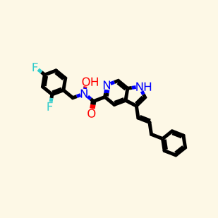 O=C(c1cc2c(C=CCc3ccccc3)c[nH]c2cn1)N(O)Cc1ccc(F)cc1F